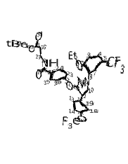 CCOc1ccc(C(F)(F)F)cc1-n1cc(-c2ccc(OC(F)(F)F)cc2)c(Oc2ccc(C(=O)NCCC(=O)OC(C)(C)C)cc2)n1